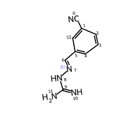 N#Cc1cccc(/C=N/NC(=N)N)c1